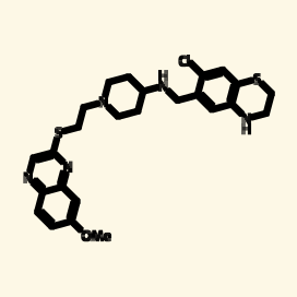 COc1ccc2ncc(SCCN3CCC(NCc4cc5c(cc4Cl)SCCN5)CC3)nc2c1